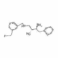 N[C@@H](Cc1ccccc1)[C@H](O)CNCc1cccc(CF)c1